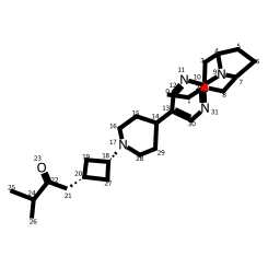 CCN1CC2CCC(C1)N2c1ncc(C2CCN([C@H]3C[C@@H](CC(=O)C(C)C)C3)CC2)cn1